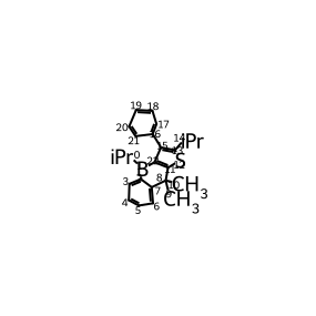 CC(C)B1c2ccccc2C(C)(C)c2sc(C(C)C)c(-c3ccccc3)c21